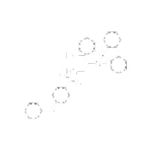 O=S(=O)(NCC(CO)NC(c1ccccc1)(c1ccccc1)c1ccccc1)c1ccc(Oc2ccccc2)cc1